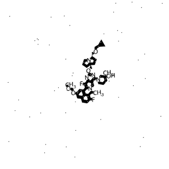 CCc1c(F)ccc2cc(OCOC)cc(-c3ncc4c(N5CCC[C@@](C)(O)C5)nc(OC[C@@]56CCCN5[C@H](COCC5CC5)CC6)nc4c3F)c12